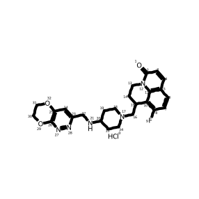 Cl.O=c1ccc2ccc(F)c3c2n1CCC3CN1CCC(NCc2cc3c(nn2)OCCO3)CC1